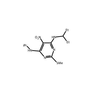 CCC(CC)Nc1nc(SC)nc(NC(C)C)c1[N+](=O)[O-]